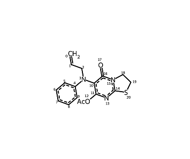 C=CCN(c1ccccc1)c1c(OC(C)=O)nc2n(c1=O)CCS2